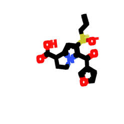 C=CC[S+]([O-])c1cc2n(c1C(=O)c1ccoc1)CCC2C(=O)O